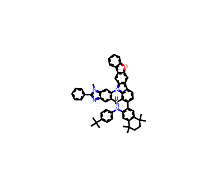 Cn1c(-c2ccccc2)nc2cc3c(cc21)-n1c2cc4c(cc2c2ccc(-c5cc6c(cc5Nc5ccc(C(C)(C)C)cc5)C(C)(C)CCC6(C)C)c(c21)B3)oc1ccccc14